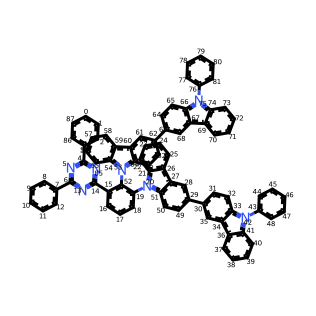 c1ccc(-c2nc(-c3ccccc3)nc(-c3cccc(-n4c5ccccc5c5cc(-c6ccc7c(c6)c6ccccc6n7-c6ccccc6)ccc54)c3-n3c4ccccc4c4cc(-c5ccc6c(c5)c5ccccc5n6-c5ccccc5)ccc43)n2)cc1